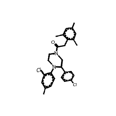 Cc1cc(C)c(CC(=O)N2CCN(c3ccc(C)cc3Cl)C(c3ccc(Cl)cc3)C2)c(C)c1